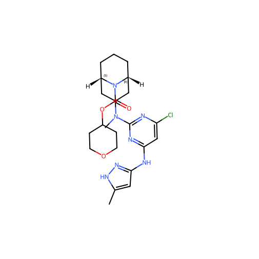 Cc1cc(Nc2cc(Cl)nc(N(C)C3C[C@H]4CCC[C@@H](C3)N4C(=O)OC3CCOCC3)n2)n[nH]1